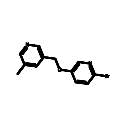 Cc1cncc(COc2ccc(Br)nc2)c1